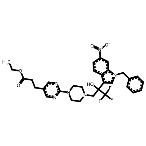 CCOC(=O)CCc1cnc(N2CCN(CC(O)(c3cn(Cc4ccccc4)c4cc([N+](=O)[O-])ccc34)C(F)(F)F)CC2)nc1